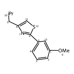 COc1cccc(-c2nc(CC(C)C)cs2)c1